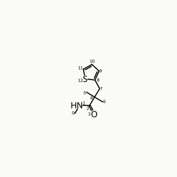 CNC(=O)C(C)(C)Cc1cccs1